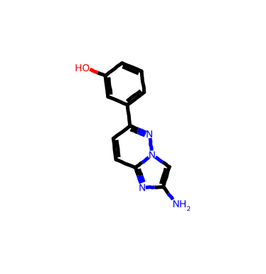 Nc1cn2nc(-c3cccc(O)c3)ccc2n1